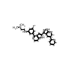 CN(C)CCNc1cc(F)cc(-c2nccc3[nH]c(-c4n[nH]c5ncc(-c6ccccn6)cc45)cc23)c1